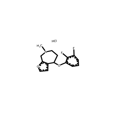 CN1CCC(Oc2cccc(F)c2F)c2ccoc2C1.Cl